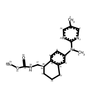 Cc1cnc(N(C)c2ccc3c(c2)CCC[C@H]3CNC(=O)OC(C)(C)C)nc1